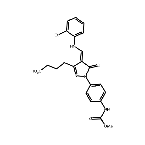 CCc1ccccc1N/C=C1/C(=O)N(c2ccc(NC(=O)OC)cc2)N=C1CCCC(=O)O